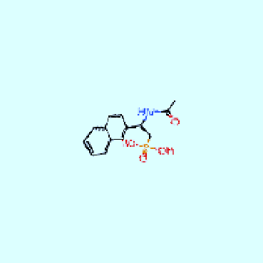 CC(=O)NC(CP(=O)(O)O)c1ccc2ccccc2c1